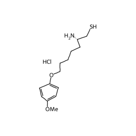 COc1ccc(OCCCCC[C@H](N)CS)cc1.Cl